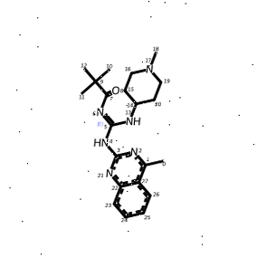 Cc1nc(N/C(=N/C(=O)C(C)(C)C)NC2CCN(C)CC2)nc2ccccc12